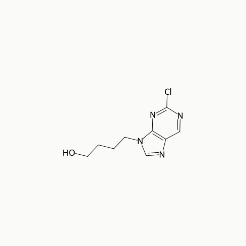 OCCCCn1cnc2cnc(Cl)nc21